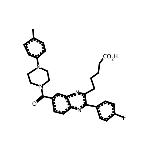 Cc1ccc(N2CCN(C(=O)c3ccc4nc(-c5ccc(F)cc5)c(CCCCC(=O)O)nc4c3)CC2)cc1